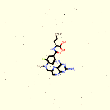 CN(Cc1cnc2nc(N)nc(N)c2n1)c1ccc(C(=O)N[C@@H](CCC(=O)O)C(O)O)cc1F